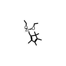 CC[O][Zr]([CH2]C1=C(C)C(C)=C(C)C1(C)C)[O]CC